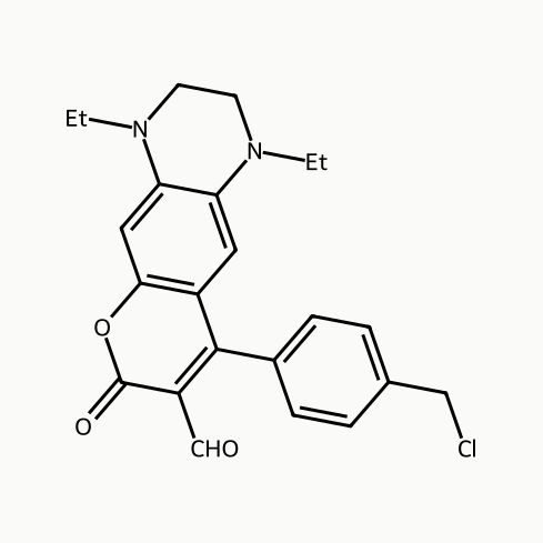 CCN1CCN(CC)c2cc3c(-c4ccc(CCl)cc4)c(C=O)c(=O)oc3cc21